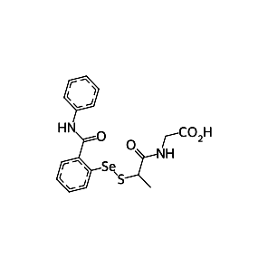 CC(S[Se]c1ccccc1C(=O)Nc1ccccc1)C(=O)NCC(=O)O